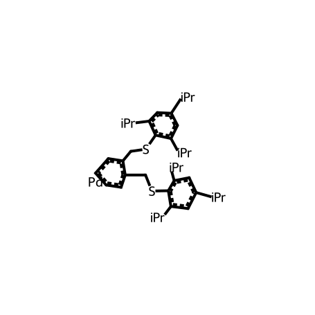 CC(C)c1cc(C(C)C)c(SCc2ccccc2CSc2c(C(C)C)cc(C(C)C)cc2C(C)C)c(C(C)C)c1.[Pd]